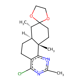 Cc1nc(Cl)c2c(n1)[C@@]1(C)CCC3(OCCO3)[C@@H](C)[C@@H]1CC2